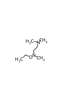 CCON(C)CCN(C)C